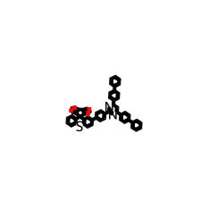 c1ccc(-c2ccc(-c3cc(-c4ccc(-c5ccccc5)cc4)nc(-c4ccc(-c5ccc6c(c5)C5(c7ccccc7S6)c6ccccc6-c6ccccc65)cc4)n3)cc2)cc1